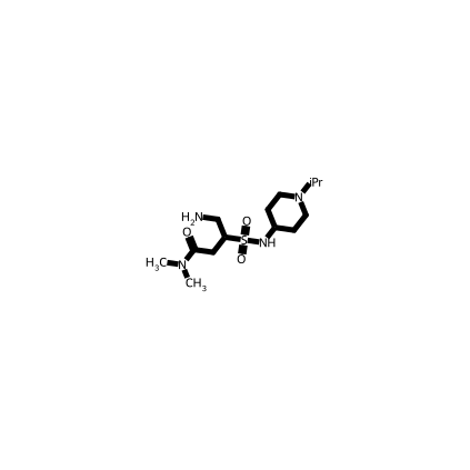 CC(C)N1CCC(NS(=O)(=O)C(CN)CC(=O)N(C)C)CC1